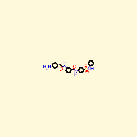 N[C@H]1CC[C@H](CC(=O)Nc2cccc(C(=O)Nc3ccc(S(=O)(=O)Nc4ccccc4)cc3)c2)CC1